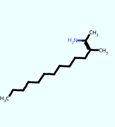 CCCCCCCCCCCC(C)=C(C)N